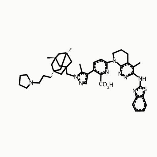 Cc1c(Nc2nc3ccccc3s2)nnc2c1CCCN2c1ccc(-c2cnn(C[C@]34C[C@@]5(C)C[C@](C)(C[C@](CCCN6CCCC6)(C5)C3)C4)c2C)c(C(=O)O)n1